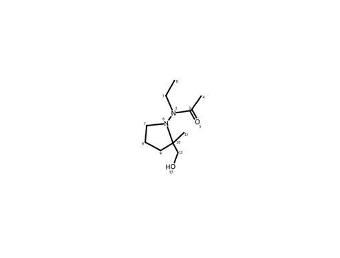 CCN(C(C)=O)N1CCCC1(C)CO